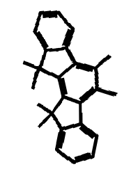 Cc1c(C)c2c(c3c1-c1ccccc1C3(C)C)C(C)(C)c1ccccc1-2